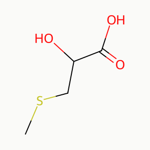 CSCC(O)C(=O)O